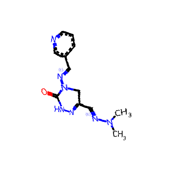 CN(C)/N=C/C1=NNC(=O)N(/N=C/c2cccnc2)C1